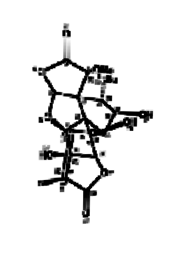 CO[C@H]1C(=O)OC2O[C@]34C(=O)OC5[C@H](O)[C@@H](C(C)(C)C)C21C53[C@@H](O)C1OC(=O)[C@@H](C)[C@@]14O